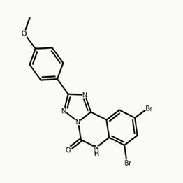 COc1ccc(-c2nc3c4cc(Br)cc(Br)c4[nH]c(=O)n3n2)cc1